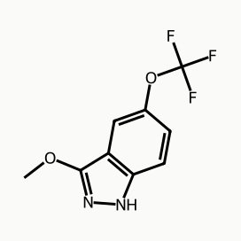 COc1n[nH]c2ccc(OC(F)(F)F)cc12